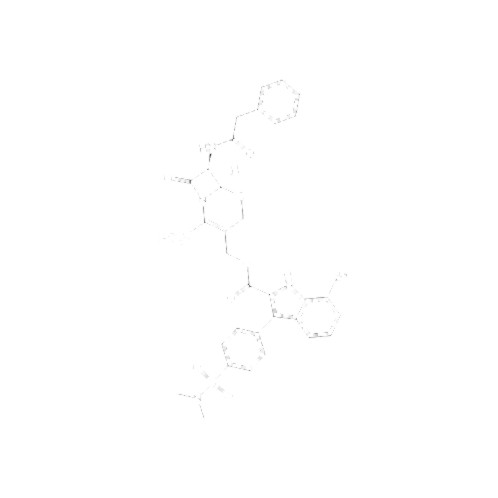 CC(C)c1cccc2c(-c3ccc(S(=O)(=O)N(C)C)cc3)c(C(=O)OCC3=C(C(=O)O)N4C(=O)[C@@H](NC(=O)Cc5ccccc5)[C@H]4SC3)[nH]c12